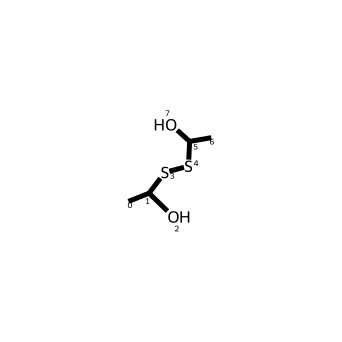 CC(O)SSC(C)O